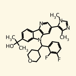 Cc1ncn(C)c1-c1cnc2c3ccc(C(C)(C)O)cc3n(C(c3cccc(F)c3F)C3CCOCC3)c2c1